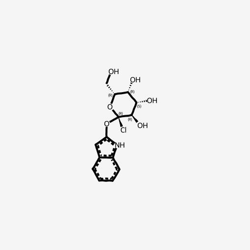 OC[C@H]1O[C@@](Cl)(Oc2cc3ccccc3[nH]2)[C@H](O)[C@@H](O)[C@H]1O